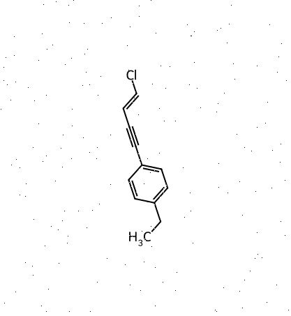 CCc1ccc(C#C/C=C/Cl)cc1